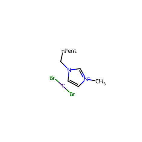 Br[I-]Br.CCCCCCn1cc[n+](C)c1